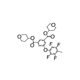 Cc1c(F)c(F)c(Oc2cc(C(=O)OC3CCOCC3)cc(C(=O)OC3CCOCC3)c2)c(F)c1F